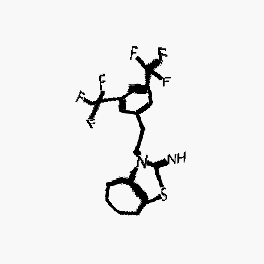 N=c1sc2c(n1CCc1cc(C(F)(F)F)cc(C(F)(F)F)c1)CCCC2